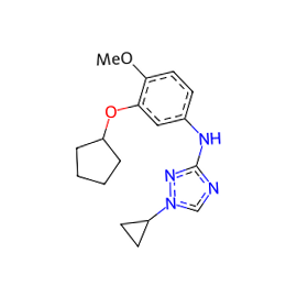 COc1ccc(Nc2ncn(C3CC3)n2)cc1OC1CCCC1